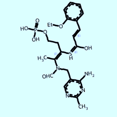 CCOc1ccccc1/C=C/C(O)=[SH]\C(CCOP(=O)(O)O)=C(\C)N(C=O)Cc1cnc(C)nc1N